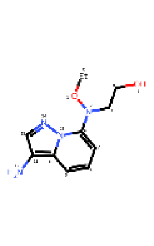 CCON(CCO)c1cccc2c(N)cnn12